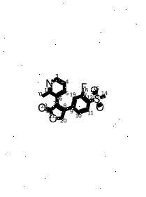 Cc1ncccc1C1=C(c2ccc(S(C)(=O)=O)c(F)c2)COC1=O